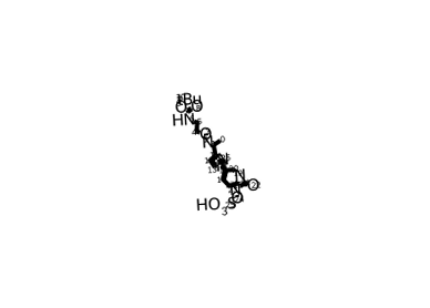 C/C(=N\OCCNC(=O)OC(C)(C)C)c1ccn(C2=CC3CN(C2)C(=O)N3OS(=O)(=O)O)n1